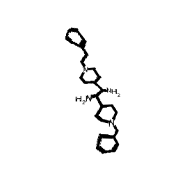 NC(C1CCN(CCc2ccccc2)CC1)C(N)C1CCN(Cc2ccccc2)CC1